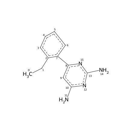 CCc1ccccc1-c1cc(N)nc(N)n1